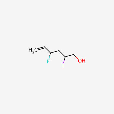 C=CC(F)CC(I)CO